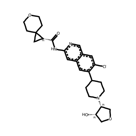 O=C(Nc1cc2cc(C3CCN([C@@H]4COC[C@@H]4O)CC3)c(Cl)cc2cn1)[C@@H]1CC12CCOCC2